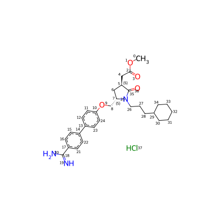 COC(=O)C[C@@H]1C[C@@H](COc2ccc(-c3ccc(C(=N)N)cc3)cc2)N(CCCC2CCCCC2)C1=O.Cl